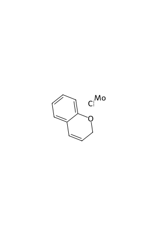 C1=Cc2ccccc2OC1.[C].[Mo]